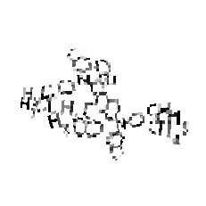 CC(C)(C)c1ccc(N(c2ccc3c(c2)CCC3)c2ccc3c(c2)C(C)(c2cccc4ccccc24)c2cc(N(c4ccc(C(C)(C)C)cc4)c4ccc5c(c4)CCC5)c4c(oc5ccccc54)c2-3)cc1